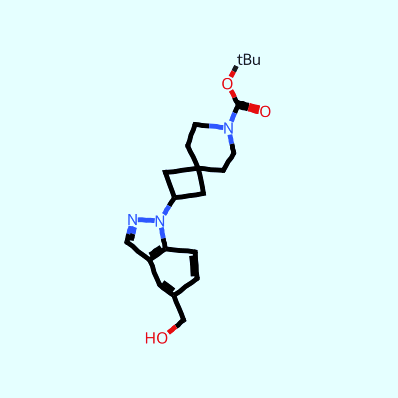 CC(C)(C)OC(=O)N1CCC2(CC1)CC(n1ncc3cc(CO)ccc31)C2